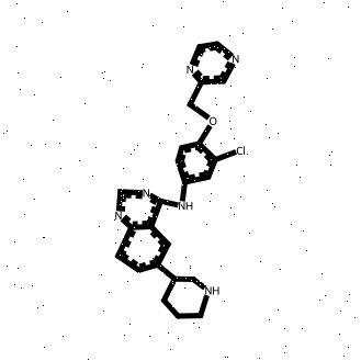 Clc1cc(Nc2ncnc3ccc(C4CCCNC4)cc23)ccc1OCc1cnccn1